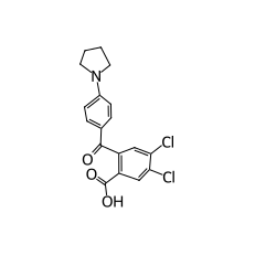 O=C(O)c1cc(Cl)c(Cl)cc1C(=O)c1ccc(N2CCCC2)cc1